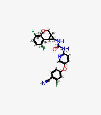 N#Cc1ccc(Oc2ccc(NC(=O)NC3C4COc5c(F)ccc(F)c5C43)nc2)cc1F